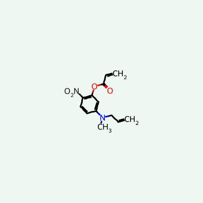 C=CCN(C)c1ccc([N+](=O)[O-])c(OC(=O)C=C)c1